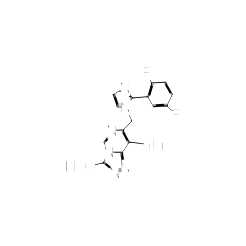 CCCc1c(Cn2ccnc2-c2cc(F)ccc2F)ncn2c(C)nnc12